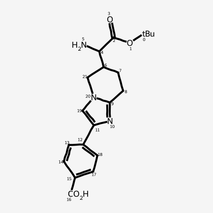 CC(C)(C)OC(=O)C(N)C1CCc2nc(-c3ccc(C(=O)O)cc3)cn2C1